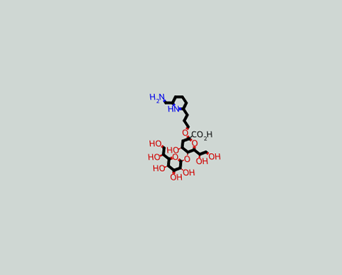 NCC1CCCC(CCCO[C@]2(C(=O)O)C[C@@H](O)[C@@H](O[C@H]3OC([C@@H](O)CO)[C@@H](O)C(O)[C@H]3O)C([C@H](O)CO)O2)N1